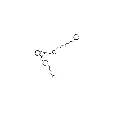 COC(=O)CCCCN1CCC(Nc2nc(NCc3cn(CCCNCCCNC4CCCCC4)nn3)nc3ccccc23)CC1